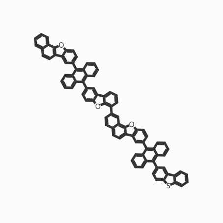 c1ccc2c(c1)ccc1c3cc(-c4c5ccccc5c(-c5ccc6oc7c(-c8ccc9ccc%10c%11cc(-c%12c%13ccccc%13c(-c%13ccc%14sc%15ccccc%15c%14c%13)c%13ccccc%12%13)ccc%11oc%10c9c8)cccc7c6c5)c5ccccc45)ccc3oc21